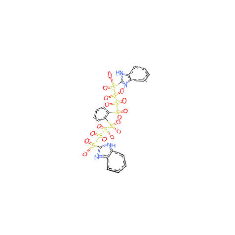 O=S(=O)(c1nc2[c]cccc2[nH]1)S(=O)(=O)S(=O)(=O)S(=O)(=O)c1ccccc1S(=O)(=O)S(=O)(=O)S(=O)(=O)S(=O)(=O)c1nc2[c]cccc2[nH]1